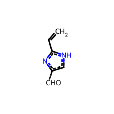 C=Cc1nc(C=O)c[nH]1